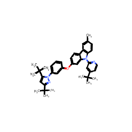 Cc1ccc2c(c1)c1ccc(Oc3cccc(-n4nc(C(C)(C)C)cc4C(C)(C)C)c3)cc1n2-c1cc(C(C)(C)C)ccn1